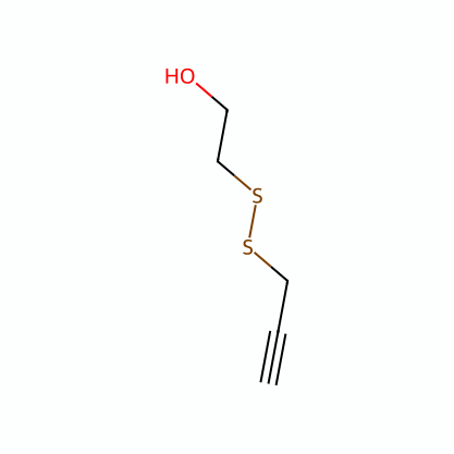 C#CCSSCCO